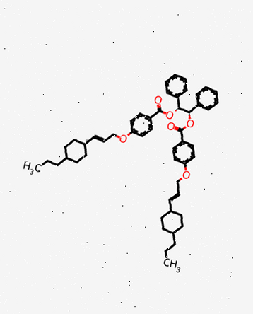 CCCC1CCC(C=CCOc2ccc(C(=O)O[C@H](c3ccccc3)[C@H](OC(=O)c3ccc(OCC=CC4CCC(CCC)CC4)cc3)c3ccccc3)cc2)CC1